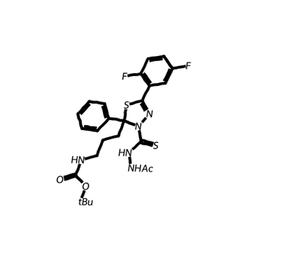 CC(=O)NNC(=S)N1N=C(c2cc(F)ccc2F)SC1(CCCNC(=O)OC(C)(C)C)c1ccccc1